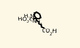 NC(N)(C(=O)O)C1(CCCCCCC(=O)O)CCCCCC1